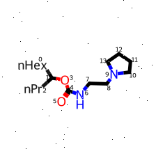 CCCCCCC(CCC)OC(=O)NCCN1CCCC1